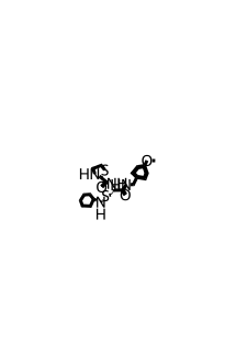 COc1ccc(CNC(=O)[C@H](CSNC2CCCCC2)NC(=O)C2NCCS2)cc1